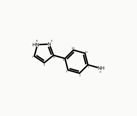 [NH]c1ccc(-c2cc[nH]n2)cc1